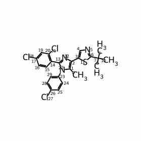 Cc1c(-c2cnc(C(C)(C)C)s2)nc(-c2ccc(Cl)cc2Cl)n1-c1ccc(Cl)cc1